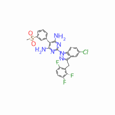 CS(=O)(=O)c1cccc(-c2c(N)nc(-n3nc(Cc4c(F)ccc(F)c4F)c4cc(Cl)ccc43)nc2N)c1